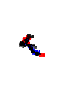 CN(CCCN(C)c1ccc(-c2ccnc(Nc3cccc(CO)c3)n2)cn1)C(=O)CN1CCN(C(=O)OC(C)(C)C)CC1C(=O)OCc1ccccc1